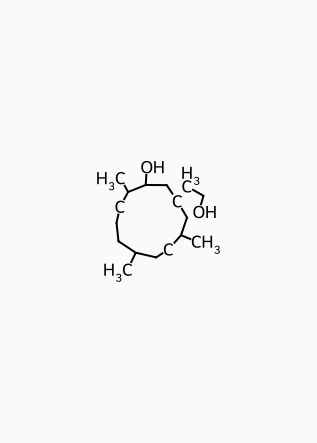 CC1CCCC(C)C(O)CCCC(C)CC1.CCO